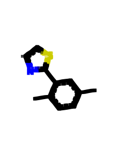 Cc1ccc(C)c(-c2n[c]cs2)c1